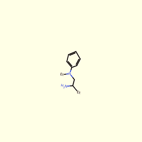 CCC(N)CN(CC)c1ccccc1